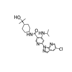 CC(C)Nc1cc(-n2ncc3cc(Cl)cnc32)ncc1C(=O)N[C@H]1CC[C@H](C(C)(C)O)CC1